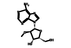 CO[C@@H]1[C@@H](O)[C@@H](CO)O[C@H]1n1cnc2c(N)ncnc21